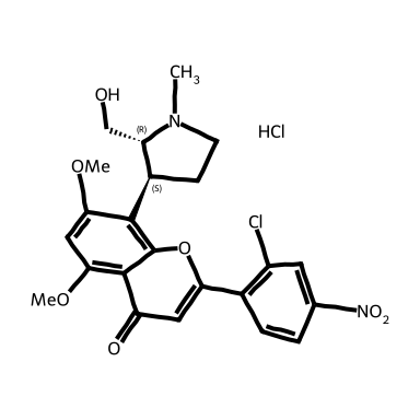 COc1cc(OC)c2c(=O)cc(-c3ccc([N+](=O)[O-])cc3Cl)oc2c1[C@@H]1CCN(C)[C@H]1CO.Cl